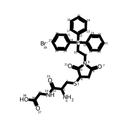 NC(CSC1CC(=O)N(CC[P+](c2ccccc2)(c2ccccc2)c2ccccc2)C1=O)C(=O)NCC(=O)O.[Br-]